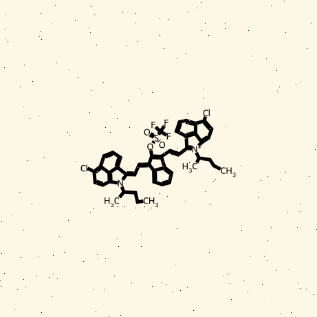 CCCC(C)n1/c(=C/C=C2C(OS(=O)(=O)C(F)(F)F)=C(/C=C/C3=[N+](C(C)CCC)c4ccc(Cl)c5cccc3c45)c3ccccc3/2)c2cccc3c(Cl)ccc1c32